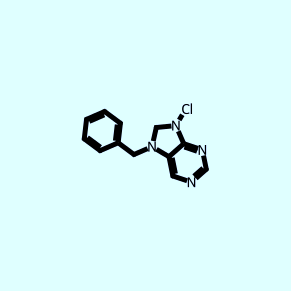 ClN1CN(Cc2ccccc2)c2cncnc21